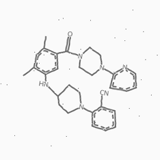 Cc1cc(C)c(C(=O)N2CCN(c3ccccn3)CC2)cc1NC1CCN(c2ccccc2C#N)CC1